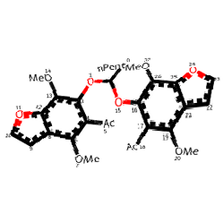 CCCCCC(Oc1c(C(C)=O)c(OC)c2ccoc2c1OC)Oc1c(C(C)=O)c(OC)c2ccoc2c1OC